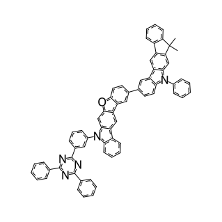 CC1(C)c2ccccc2-c2cc3c4cc(-c5ccc6oc7cc8c(cc7c6c5)c5ccccc5n8-c5cccc(-c6nc(-c7ccccc7)nc(-c7ccccc7)n6)c5)ccc4n(-c4ccccc4)c3cc21